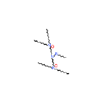 CCCCCCCCCCN(CCCCCCCCCC)C(=O)CCCCCN(CCCCCC(=O)N(CCCCCCCCCC)CCCCCCCCCC)CCN(C)CCCCCC